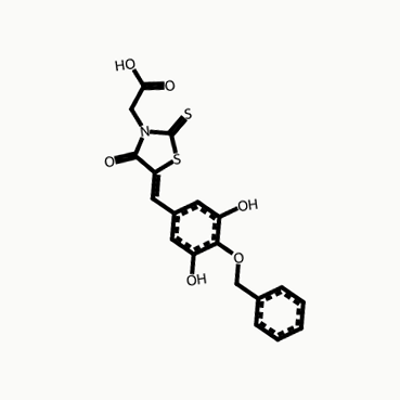 O=C(O)CN1C(=O)C(=Cc2cc(O)c(OCc3ccccc3)c(O)c2)SC1=S